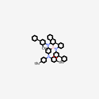 Cc1cc(-c2ccccc2)ccc1N1c2ccc(N(c3ccc(C(C)(C)C)cc3)c3ccc(C(C)(C)C)cc3)cc2B2c3c(cc4ccccc4c31)-c1ccccc1N2c1cccc(-c2ccccc2)c1